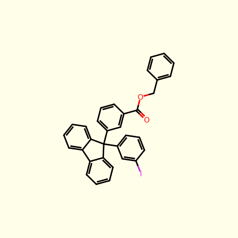 O=C(OCc1ccccc1)c1cccc(C2(c3cccc(I)c3)c3ccccc3-c3ccccc32)c1